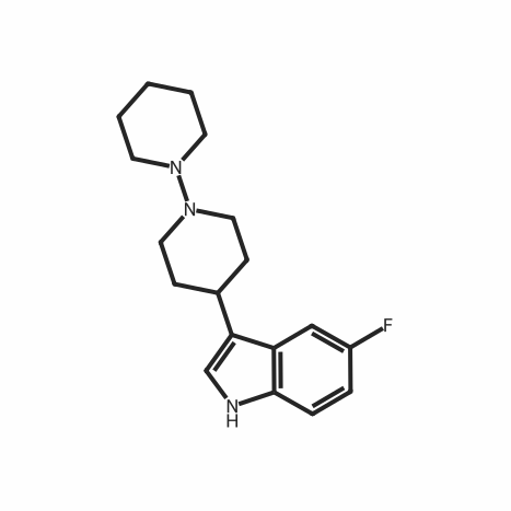 Fc1ccc2[nH]cc(C3CCN(N4CCCCC4)CC3)c2c1